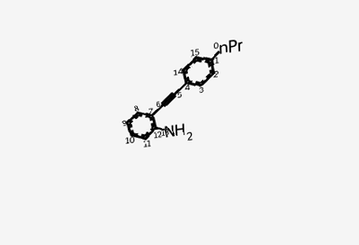 CCCc1ccc(C#Cc2ccccc2N)cc1